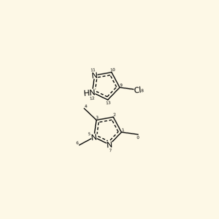 Cc1cc(C)n(C)n1.Clc1cn[nH]c1